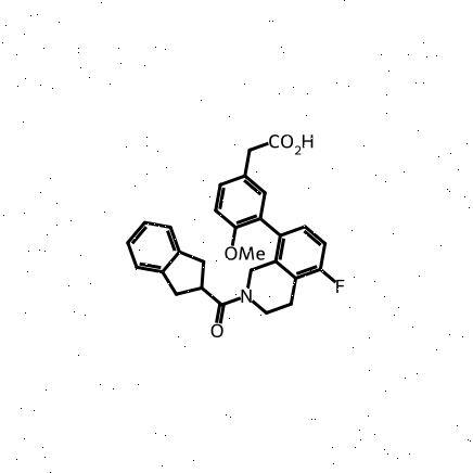 COc1ccc(CC(=O)O)cc1-c1ccc(F)c2c1CN(C(=O)C1Cc3ccccc3C1)CC2